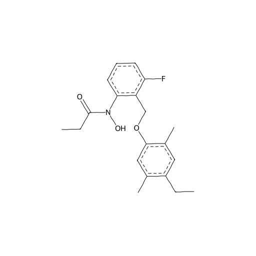 CCC(=O)N(O)c1cccc(F)c1COc1cc(C)c(CC)cc1C